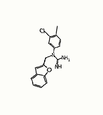 Cc1ccc(N(Cc2cc3ccccc3o2)C(=N)N)cc1Cl